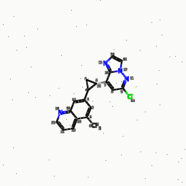 FC(F)(F)c1cc(C2C[C@@H]2c2cc(Cl)nn3ccnc23)cc2ncccc12